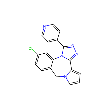 Clc1ccc2c(c1)-n1c(-c3ccncc3)nnc1-c1cccn1C2